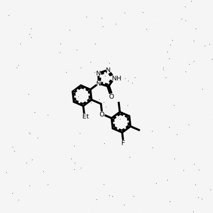 CCc1cccc(-n2nn[nH]c2=O)c1COc1cc(F)c(C)cc1C